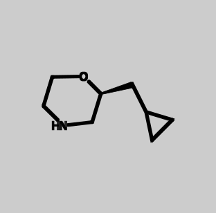 C1CO[C@@H](CC2CC2)CN1